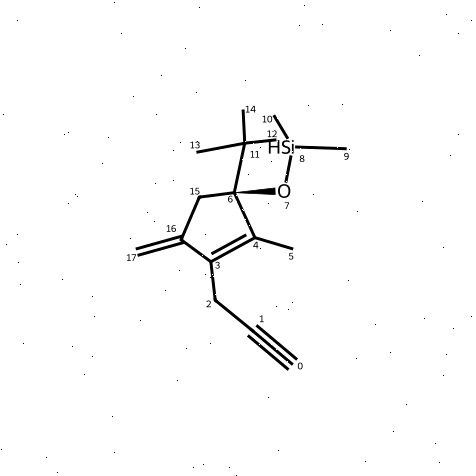 C#CCC1=C(C)[C@@](O[SiH](C)C)(C(C)(C)C)CC1=C